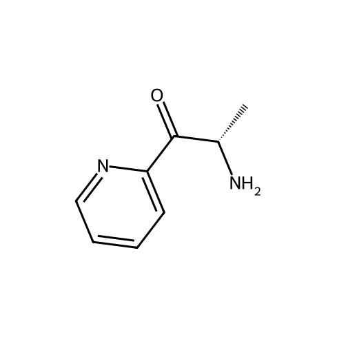 C[C@H](N)C(=O)c1ccccn1